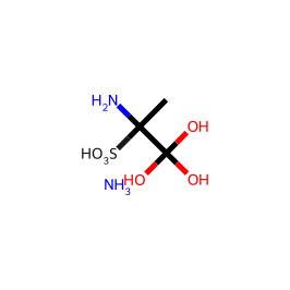 CC(N)(C(O)(O)O)S(=O)(=O)O.N